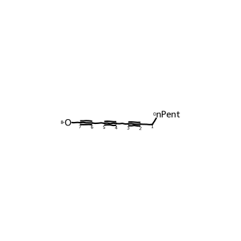 CCCCCCC#CC#CC#C[O]